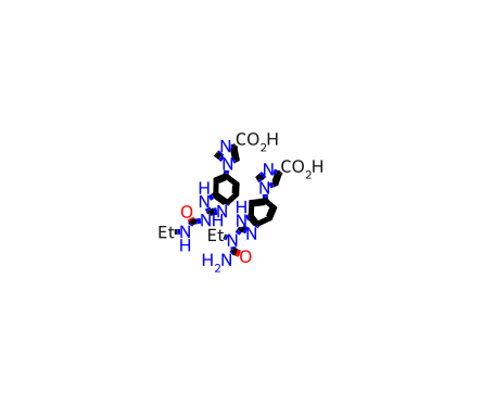 CCN(C(N)=O)c1nc2ccc(-n3cnc(C(=O)O)c3)cc2[nH]1.CCNC(=O)Nc1nc2ccc(-n3cnc(C(=O)O)c3)cc2[nH]1